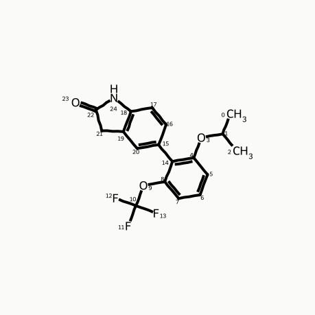 CC(C)Oc1cccc(OC(F)(F)F)c1-c1ccc2c(c1)CC(=O)N2